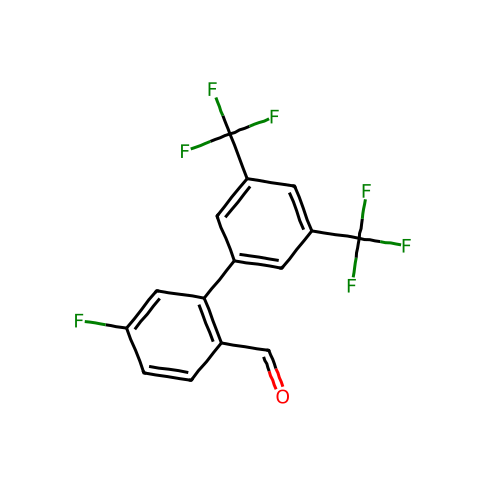 O=Cc1ccc(F)cc1-c1cc(C(F)(F)F)cc(C(F)(F)F)c1